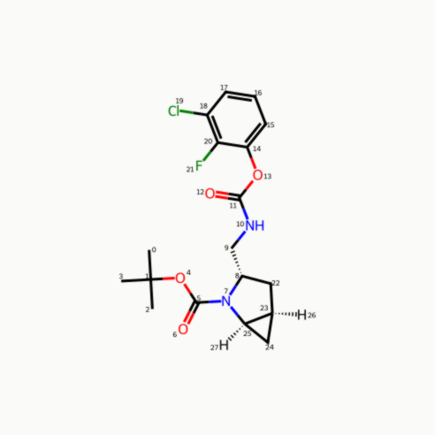 CC(C)(C)OC(=O)N1[C@H](CNC(=O)Oc2cccc(Cl)c2F)C[C@H]2C[C@H]21